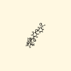 CC(=O)c1cccc(Oc2ccc(C(=O)N[C@@H]3C[C@@H]4CCN(C4)C3)cc2)c1